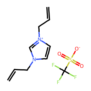 C=CCn1cc[n+](CC=C)c1.O=S(=O)([O-])C(F)(F)F